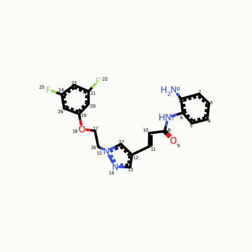 Nc1ccccc1NC(=O)C=Cc1cnn(CCOc2cc(F)cc(F)c2)c1